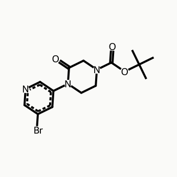 CC(C)(C)OC(=O)N1CCN(c2cncc(Br)c2)C(=O)C1